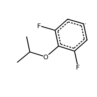 CC(C)Oc1c(F)c[c]cc1F